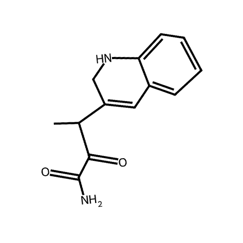 CC(C(=O)C(N)=O)C1=Cc2ccccc2NC1